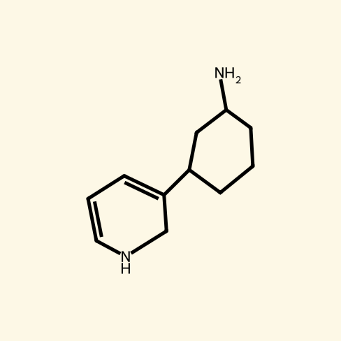 NC1CCCC(C2=CC=CNC2)C1